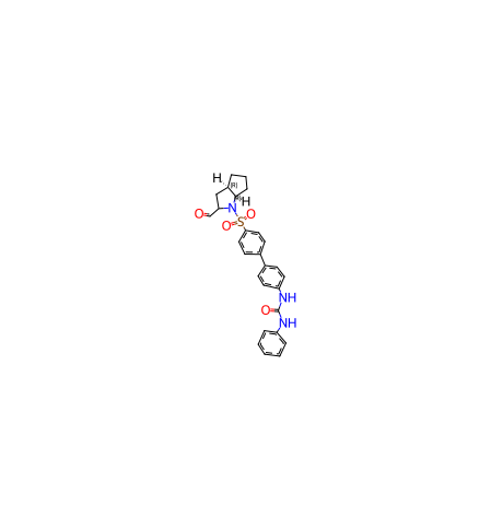 O=CC1C[C@H]2CCC[C@H]2N1S(=O)(=O)c1ccc(-c2ccc(NC(=O)Nc3ccccc3)cc2)cc1